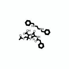 CC(=O)SCC1(C)S[C@@H]2C(NC(=O)Cc3ccccc3)C(=O)N2C1C(=O)O.c1ccc(CNCCNCc2ccccc2)cc1